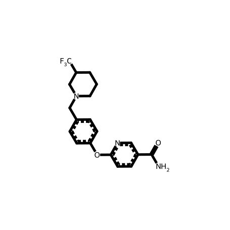 NC(=O)c1ccc(Oc2ccc(CN3CCCC(C(F)(F)F)C3)cc2)nc1